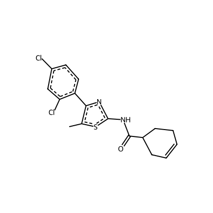 Cc1sc(NC(=O)C2CC=CCC2)nc1-c1ccc(Cl)cc1Cl